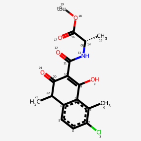 Cc1c(Cl)ccc2c1C(O)=C(C(=O)N[C@@H](C)C(=O)OC(C)(C)C)C(=O)C2C